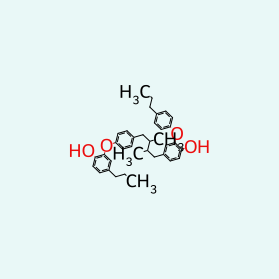 CCCc1ccc(Oc2cc(CC(C)C(C)Cc3ccc(Oc4cc(CCC)ccc4O)cc3)ccc2O)cc1